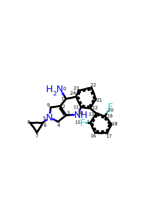 NC1C2=C(CN(C3CC3)C2)Nc2c(-c3c(F)cccc3F)cccc21